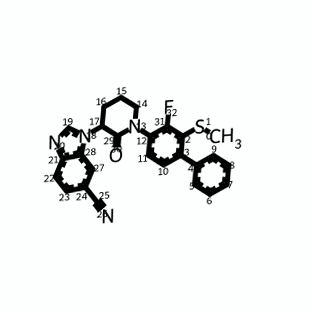 CSc1c(-c2ccccc2)ccc(N2CCCC(n3cnc4ccc(C#N)cc43)C2=O)c1F